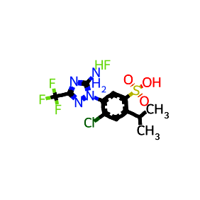 CC(C)c1cc(Cl)c(-n2nc(C(F)(F)F)nc2N)cc1S(=O)(=O)O.F